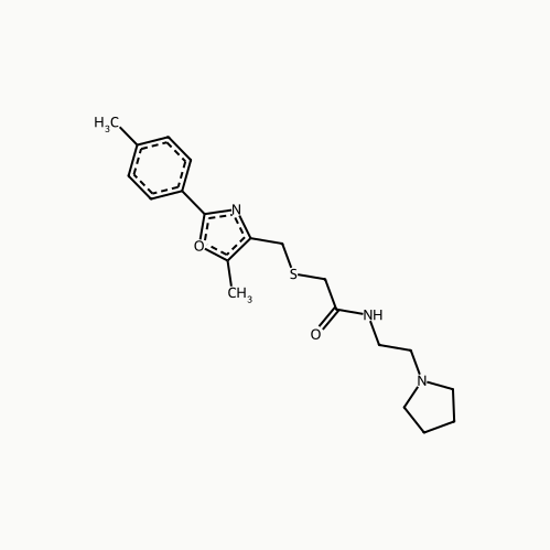 Cc1ccc(-c2nc(CSCC(=O)NCCN3CCCC3)c(C)o2)cc1